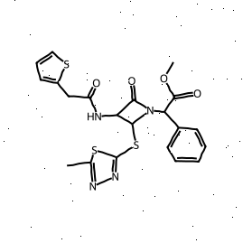 COC(=O)C(c1ccccc1)N1C(=O)C(NC(=O)Cc2cccs2)C1Sc1nnc(C)s1